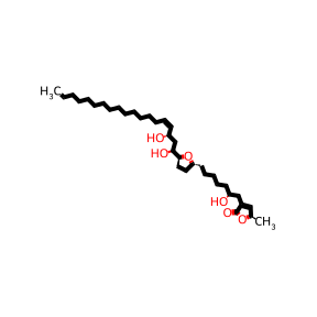 CCCCCCCCCCCCCC/C=C\[C@@H](O)C[C@H](O)[C@@H]1CC[C@@H](CCCCC[C@@H](O)CC2=C[C@H](C)OC2=O)O1